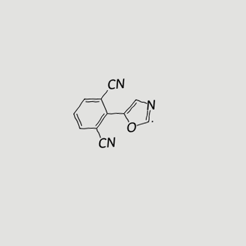 N#Cc1cccc(C#N)c1-c1cn[c]o1